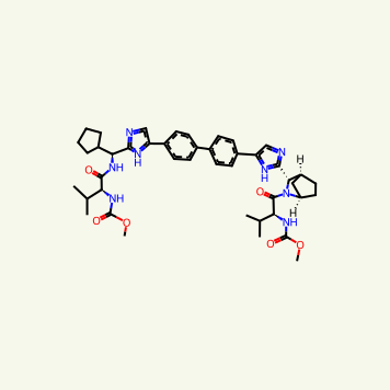 COC(=O)N[C@H](C(=O)N[C@H](c1ncc(-c2ccc(-c3ccc(-c4cnc([C@@H]5[C@H]6CC[C@H](C6)N5C(=O)[C@@H](NC(=O)OC)C(C)C)[nH]4)cc3)cc2)[nH]1)C1CCCC1)C(C)C